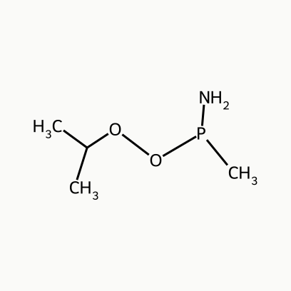 CC(C)OOP(C)N